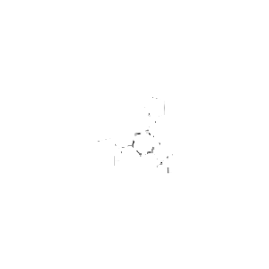 CCNc1cc(N2CCCC2)nc(C(F)(F)F)c1